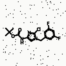 CC(C)(C)OC(=O)Nc1cn(Cc2cc(F)cc(F)c2)c(Cl)n1